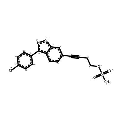 CS(=O)(=O)OCCC#Cc1ccc2c(-c3ccc(Cl)cc3)nsc2c1